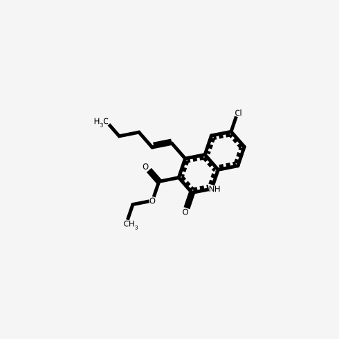 CCCC=Cc1c(C(=O)OCC)c(=O)[nH]c2ccc(Cl)cc12